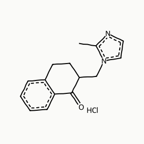 Cc1nccn1CC1CCc2ccccc2C1=O.Cl